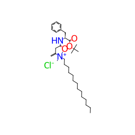 C=C(CC(=O)N[C@@H](Cc1ccccc1)C(=O)OC(C)(C)C)[N+](C)(C)CCCCCCCCCCCCCC.[Cl-]